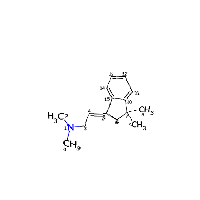 CN(C)CC=C1CC(C)(C)c2ccccc21